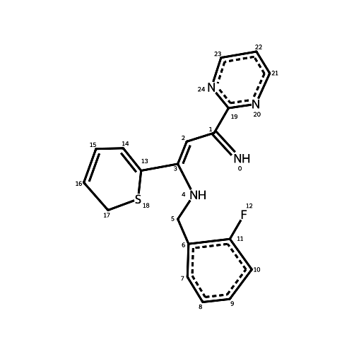 N=C(/C=C(\NCc1ccccc1F)C1=CC=CCS1)c1ncccn1